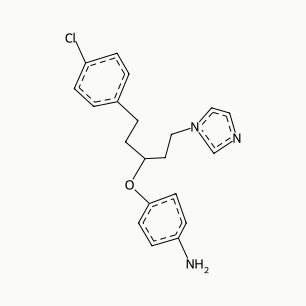 Nc1ccc(OC(CCc2ccc(Cl)cc2)CCn2ccnc2)cc1